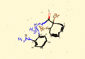 NC(=O)C1(Br)C=CC=CC1Br.Nc1ccccc1N